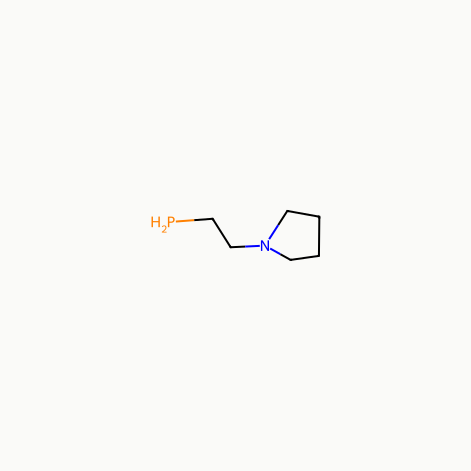 PCCN1CCCC1